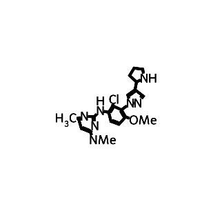 CNc1cc(C)nc(Nc2ccc(OC)c(-n3cc(C4CCCN4)cn3)c2Cl)n1